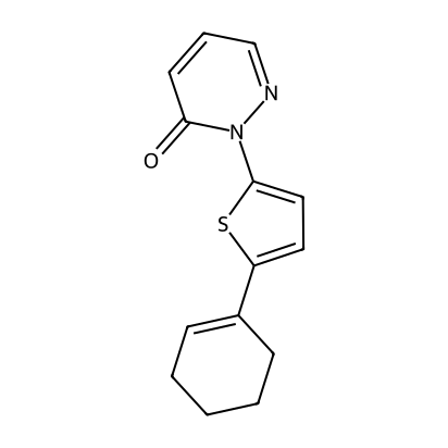 O=c1cccnn1-c1ccc(C2=CCCCC2)s1